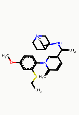 C=C(NC1CN2CCC1CC2)C1=CN(c2ccc(OC)cc2SCC)C(=C)C=C1